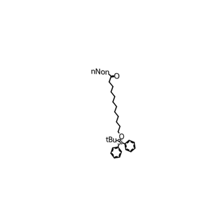 CCCCCCCCCC(=O)CCCCCCCCCCCO[Si](c1ccccc1)(c1ccccc1)C(C)(C)C